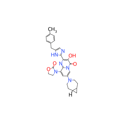 Cc1ccc(Cc2cnc(-c3nc4c(N5CCOC5=O)cc(N5CCC6C[C@@H]6CC5)cn4c(=O)c3O)[nH]2)cc1